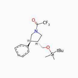 CC(C)(C)[Si](C)(C)OC[C@H]1CN(C(=O)C(F)(F)F)C[C@@H]1c1ccccc1